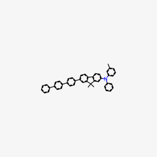 Cc1cccc(N(c2ccccc2)c2ccc3c(c2)C(C)(C)c2cc(-c4ccc(-c5ccc(-c6ccccc6)cc5)cc4)ccc2-3)c1